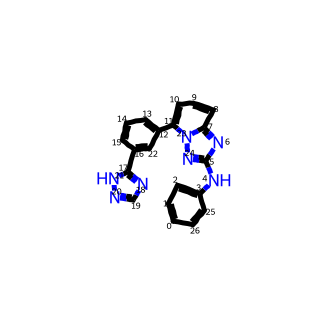 c1ccc(Nc2nc3cccc(-c4cccc(-c5ncn[nH]5)c4)n3n2)cc1